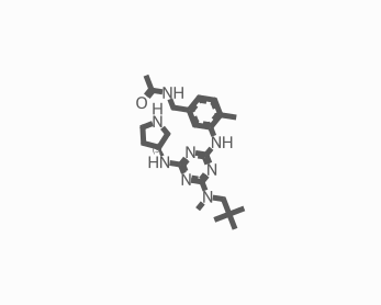 CC(=O)NCc1ccc(C)c(Nc2nc(N[C@H]3CCNC3)nc(N(C)CC(C)(C)C)n2)c1